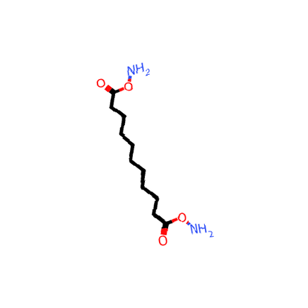 NOC(=O)CCCCCCCCCC(=O)ON